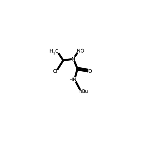 [CH2]CCCNC(=O)N(N=O)C(C)Cl